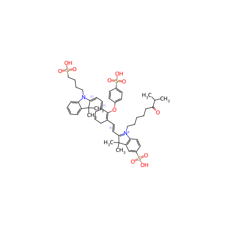 CC(C)C(=O)CCCCC[N+]1=C(/C=C/C2=C(Oc3ccc(S(=O)(=O)O)cc3)C(=C/C=C3/N(CCCCS(=O)(=O)O)c4ccccc4C3(C)C)/CCC2)C(C)(C)c2cc(S(=O)(=O)O)ccc21